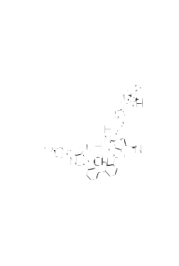 COc1nc(-c2cccc(-c3cccc(-c4nc5c(=N)n(CCN6CC[C@@H](C(=O)NS(=O)(=O)C7CC7)C6)cc(C#N)c5o4)c3Cl)c2C)cnc1CN1CC[C@@H](O)C1